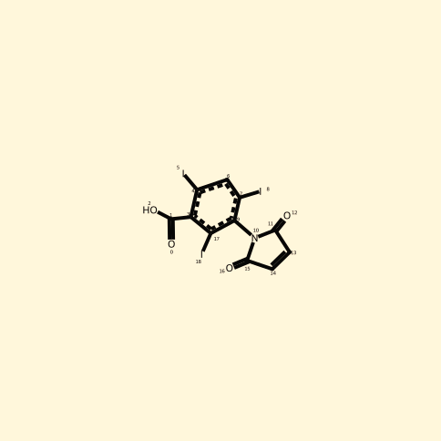 O=C(O)c1c(I)cc(I)c(N2C(=O)C=CC2=O)c1I